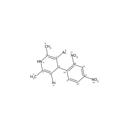 CC(=O)C1=C(C)NC(C)=C(C(C)=O)C1c1ccc([N+](=O)[O-])cc1[N+](=O)[O-]